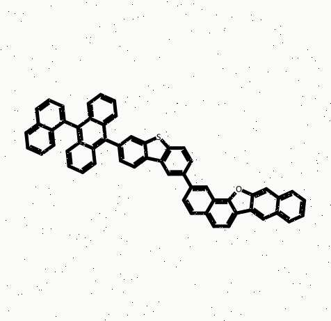 c1ccc2cc3c(cc2c1)oc1c2cc(-c4ccc5sc6cc(-c7c8ccccc8c(-c8cccc9ccccc89)c8ccccc78)ccc6c5c4)ccc2ccc31